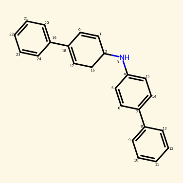 C1=CC(Nc2ccc(-c3ccccc3)cc2)CC=C1c1ccccc1